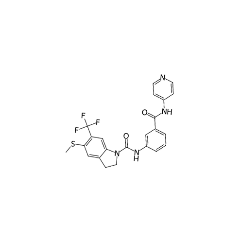 CSc1cc2c(cc1C(F)(F)F)N(C(=O)Nc1cccc(C(=O)Nc3ccncc3)c1)CC2